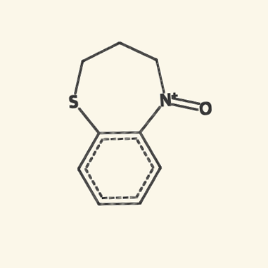 O=[N+]1CCCSc2ccccc21